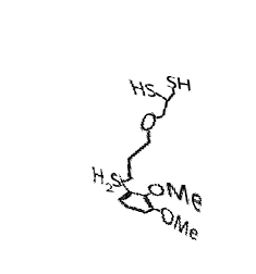 COc1cccc([SiH2]CCCOCC(S)CS)c1OC